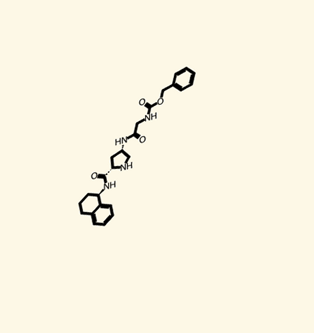 O=C(CNC(=O)OCc1ccccc1)N[C@@H]1CN[C@H](C(=O)N[C@@H]2CCCc3ccccc32)C1